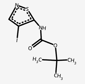 CC(C)(C)OC(=O)Nc1sncc1I